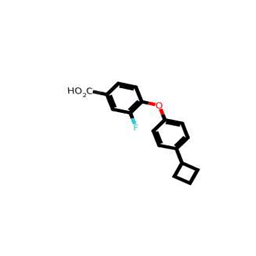 O=C(O)c1ccc(Oc2ccc(C3CCC3)cc2)c(F)c1